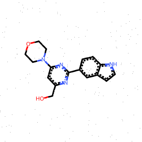 OCc1cc(N2CCOCC2)nc(-c2ccc3[nH]ccc3c2)n1